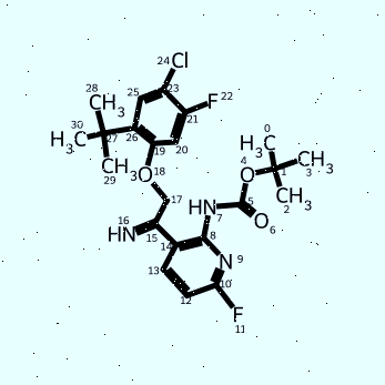 CC(C)(C)OC(=O)Nc1nc(F)ccc1C(=N)COc1cc(F)c(Cl)cc1C(C)(C)C